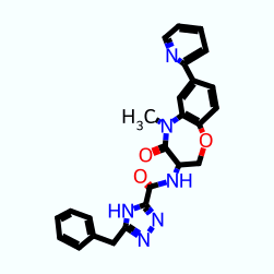 CN1C(=O)C(NC(=O)c2nnc(Cc3ccccc3)[nH]2)COc2ccc(-c3ccccn3)cc21